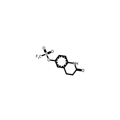 O=C1CCc2cc(OS(=O)(=O)C(F)(F)F)ccc2N1